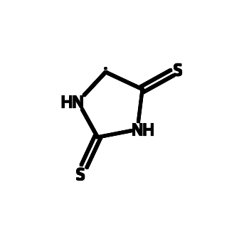 S=C1[CH]NC(=S)N1